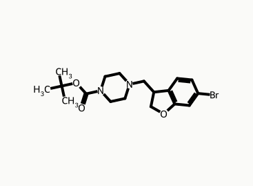 CC(C)(C)OC(=O)N1CCN(CC2COc3cc(Br)ccc32)CC1